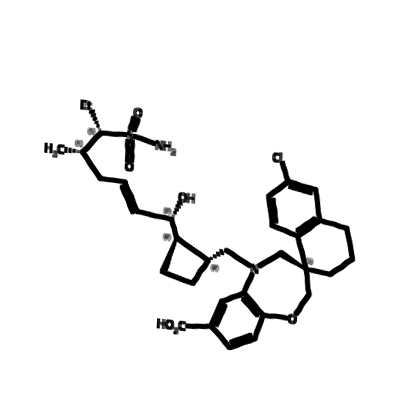 CC[C@@H]([C@@H](C)CC=C[C@H](O)[C@@H]1CC[C@H]1CN1C[C@@]2(CCCc3cc(Cl)ccc32)COc2ccc(C(=O)O)cc21)S(N)(=O)=O